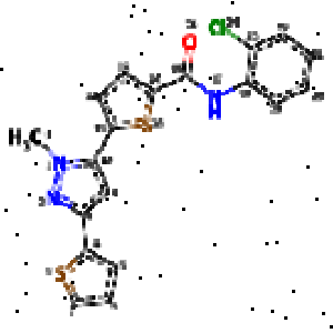 Cn1nc(-c2cccs2)cc1-c1ccc(C(=O)Nc2ccccc2Cl)s1